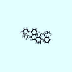 CC(C)c1ccccc1-c1ccc(CC(C)c2ccccc2-c2cccnn2)cn1